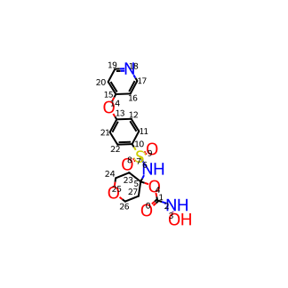 O=C(NO)OC1(NS(=O)(=O)c2ccc(Oc3ccncc3)cc2)CCOCC1